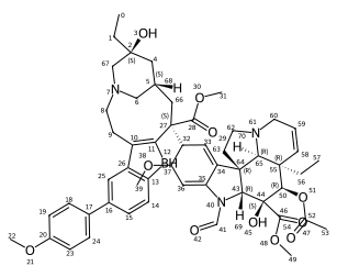 CC[C@]1(O)C[C@H]2CN(CCC3=C(Bc4ccc(-c5ccc(OC)cc5)cc43)[C@@](C(=O)OC)(C3C=C4C(=CC3OC)N(C=O)[C@H]3[C@@](O)(C(=O)OC)[C@H](OC(C)=O)[C@]5(CC)C=CCN6CC[C@]43[C@@H]65)C2)C1